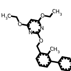 CCOc1cc(OCC)nc(OCc2cccc(-c3ccccc3)c2C)n1